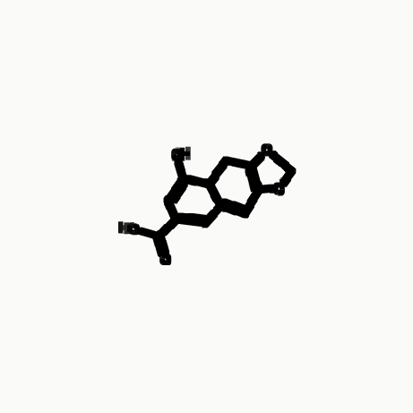 O=C(O)C1=CC2=CC3=C(CC2C(O)=C1)OCO3